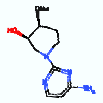 CO[C@H]1CCN(c2nccc(N)n2)C[C@H]1O